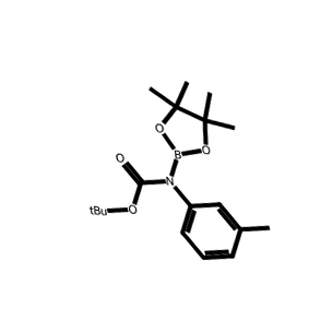 Cc1cccc(N(B2OC(C)(C)C(C)(C)O2)C(=O)OC(C)(C)C)c1